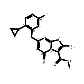 CCNC(=O)c1c(C)sc2nc(Cc3cc(F)ccc3C3CC3)cc(=O)n12